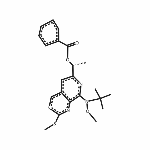 CON(c1nc([C@@H](C)OC(=O)c2ccccc2)cc2cnc(SC)nc12)C(C)(C)C